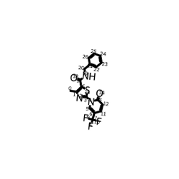 Cc1nc(-n2cc(C(F)(F)F)ccc2=O)sc1C(=O)NCc1ccccc1